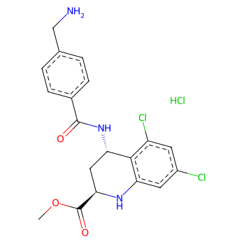 COC(=O)[C@H]1C[C@H](NC(=O)c2ccc(CN)cc2)c2c(Cl)cc(Cl)cc2N1.Cl